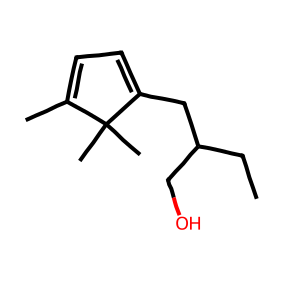 CCC(CO)CC1=CC=C(C)C1(C)C